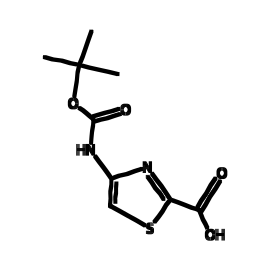 CC(C)(C)OC(=O)Nc1csc(C(=O)O)n1